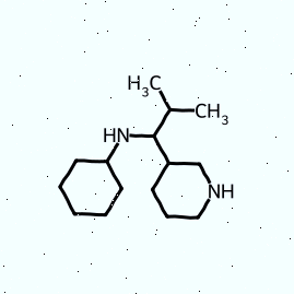 CC(C)C(NC1CCCCC1)C1CCCNC1